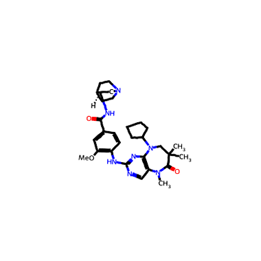 COc1cc(C(=O)N[C@@H]2CN3CCC2CC3)ccc1Nc1ncc2c(n1)N(C1CCCC1)CC(C)(C)C(=O)N2C